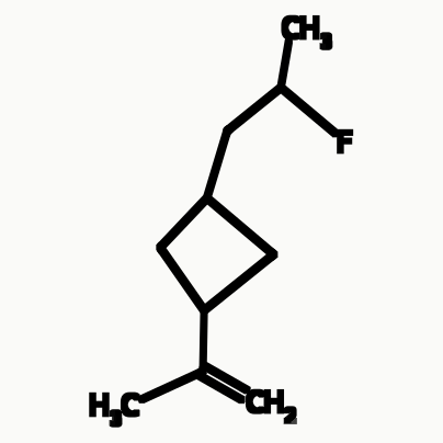 C=C(C)C1CC(CC(C)F)C1